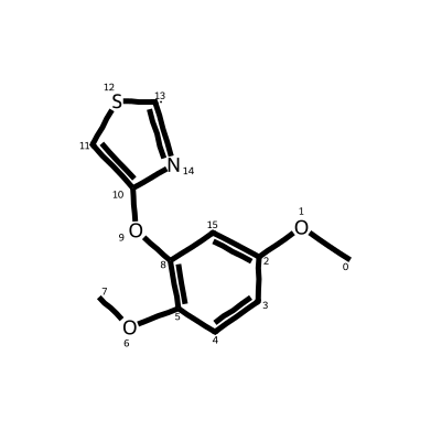 COc1ccc(OC)c(Oc2cs[c]n2)c1